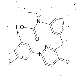 CCN(C(=O)O)c1cccc(Cc2nn(-c3cc(F)cc(F)c3)ccc2=O)c1